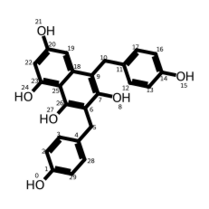 Oc1ccc(Cc2c(O)c(Cc3ccc(O)cc3)c3cc(O)cc(O)c3c2O)cc1